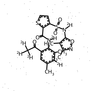 [2H]c1c(C)cc(C(=O)C([2H])([2H])[2H])c(N([2H])C(=O)c2sccc2S(=O)(=O)N([2H])c2onc(C)c2C)c1C